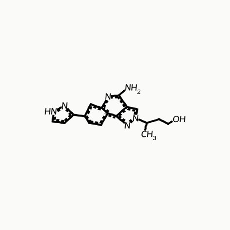 CC(CCO)n1cc2c(N)nc3cc(-c4cc[nH]n4)ccc3c2n1